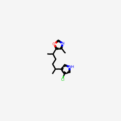 Cc1ncoc1C(C)CCC(C)c1c[nH]cc1Cl